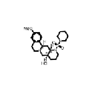 COc1ccc2c(c1)CCN1C[C@H]3CCCN(S(=O)(=O)N4CCCCC4)[C@H]3C[C@H]21.Cl